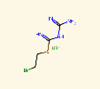 Br.N=C(N)NC(=N)SCCBr